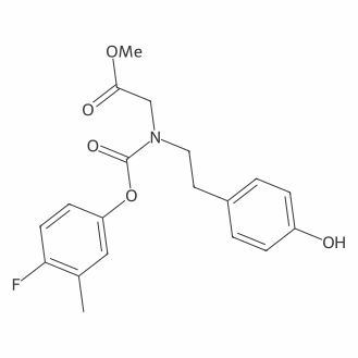 COC(=O)CN(CCc1ccc(O)cc1)C(=O)Oc1ccc(F)c(C)c1